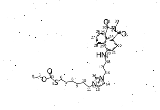 CCOC(=O)SCCCCCC[n+]1ccn(CCCNc2ccc3c4c(cccc24)C(=O)N(C)C3=O)c1